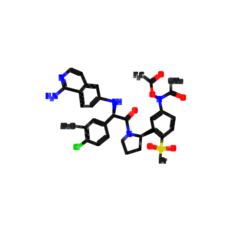 COC(=O)N(OC(=O)C(F)(F)F)c1ccc(S(=O)(=O)C(C)C)c([C@H]2CCCN2C(=O)[C@H](Nc2ccc3c(N)nccc3c2)c2ccc(Cl)c(OC)c2)c1